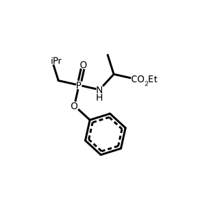 CCOC(=O)C(C)NP(=O)(CC(C)C)Oc1ccccc1